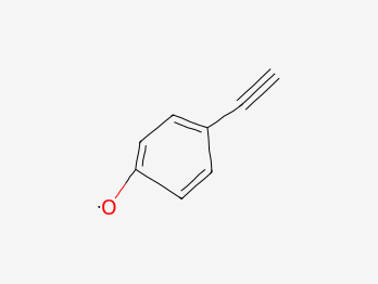 C#Cc1ccc([O])cc1